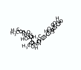 C[C@H]1CN([C@H]2CCN3c4sc5c(c4OC[C@H]3C2)C(=O)N(C2CCC(=O)NC2=O)C5)CCN1c1ccc(Nc2cc(-c3ccnc(N4CCn5c(cc6c5CC(C)(C)C6)C4=O)c3CO)cn(C)c2=O)nc1